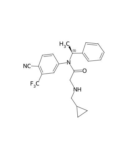 C[C@@H](c1ccccc1)N(C(=O)CNCC1CC1)c1ccc(C#N)c(C(F)(F)F)c1